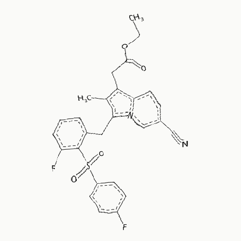 CCOC(=O)Cc1c(C)c(Cc2cccc(F)c2S(=O)(=O)c2ccc(F)cc2)n2cc(C#N)ccc12